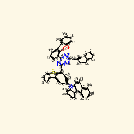 c1ccc2cc(-c3nc(-c4cccc5c4oc4ccccc45)nc(-c4cc(-n5c6ccccc6c6c7ccccc7ccc65)cc5c4sc4ccccc45)n3)ccc2c1